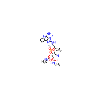 CCCCNc1nc2c(N)nc3ccccc3c2n1CCOP(OCCC#N)OC[C@@H](COC(=O)NC)OC(=O)NC